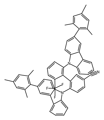 Cc1cc(C)c(-c2ccc3c(c2)c2ccccc2n3-c2ccc(C#N)cc2-c2c(-n3c4ccccc4c4cc(-c5c(C)cc(C)cc5C)ccc43)cccc2C(F)(F)F)c(C)c1